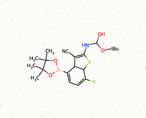 CC(C)(C)OC(O)NC1=C(C#N)C2C(B3OC(C)(C)C(C)(C)O3)=CC=C(F)C2S1